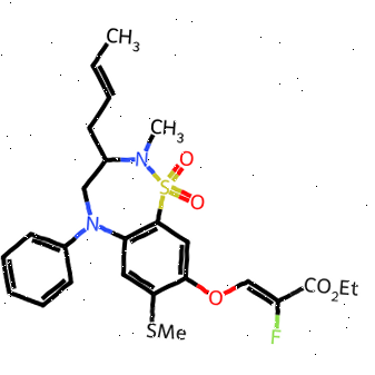 C/C=C/CC1CN(c2ccccc2)c2cc(SC)c(O/C=C(\F)C(=O)OCC)cc2S(=O)(=O)N1C